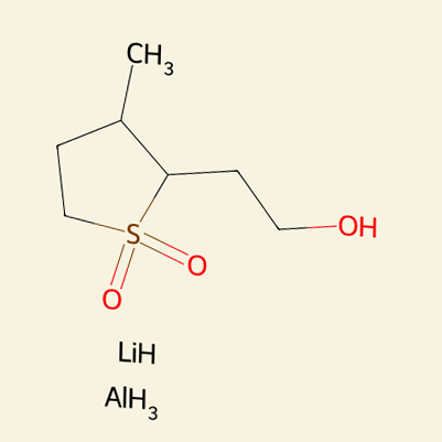 CC1CCS(=O)(=O)C1CCO.[AlH3].[LiH]